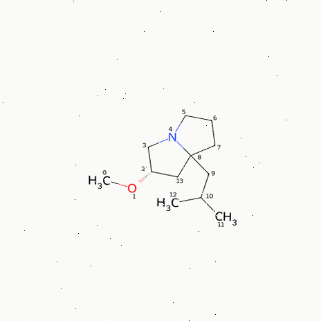 CO[C@@H]1CN2CCCC2(CC(C)C)C1